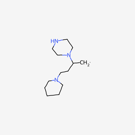 [CH2]C(CCN1CCCCC1)N1CCNCC1